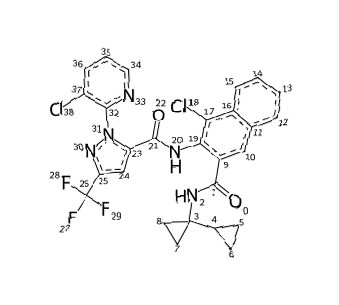 O=C(NC1(C2CC2)CC1)c1cc2ccccc2c(Cl)c1NC(=O)c1cc(C(F)(F)F)nn1-c1ncccc1Cl